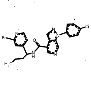 CCCC(NC(=O)c1cncc2c1cnn2-c1ccc(Cl)cc1)c1ccnc(Br)c1